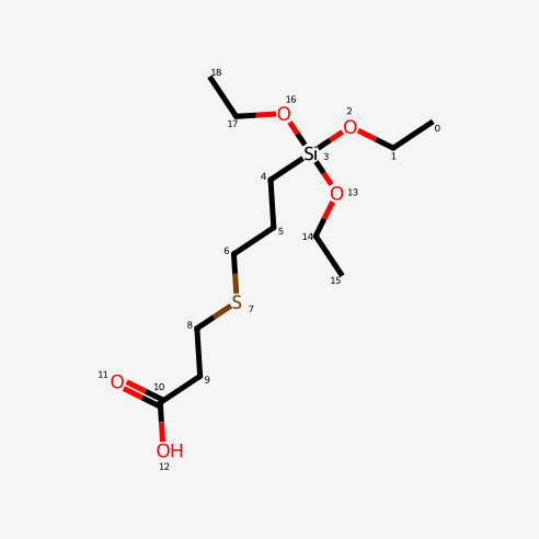 CCO[Si](CCCSCCC(=O)O)(OCC)OCC